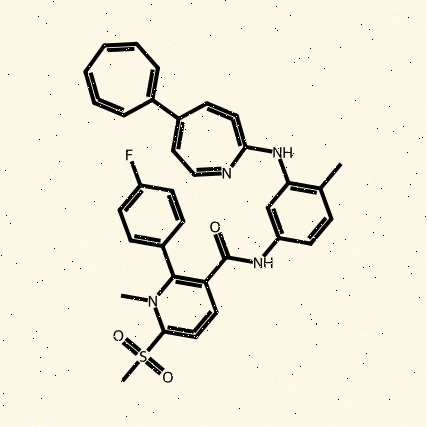 Cc1ccc(NC(=O)C2=C(c3ccc(F)cc3)N(C)C(S(C)(=O)=O)=C=C2)cc1NC1=C=CC(C2=CC=CC=C=C2)=CC=N1